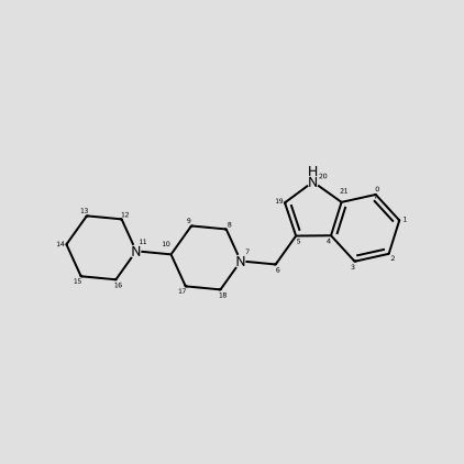 [c]1cccc2c(CN3CCC(N4CCCCC4)CC3)c[nH]c12